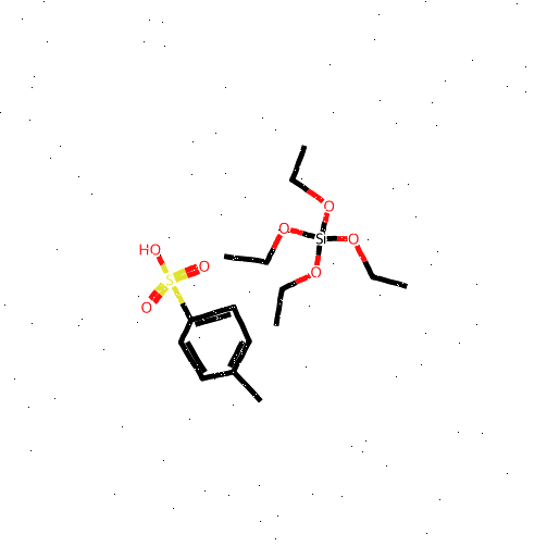 CCO[Si](OCC)(OCC)OCC.Cc1ccc(S(=O)(=O)O)cc1